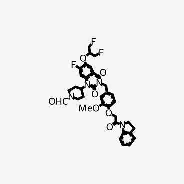 COc1cc(Cn2c(=O)c3cc(OC(CF)CF)c(F)cc3n(C3CCN(C=O)CC3)c2=O)ccc1OCC(=O)N1CCc2ccccc21